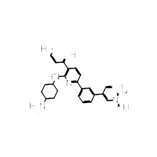 C=C/C(=C\N(C)C)c1cccc(-c2ccc(C(=C)/C=C\C)c(NC3CCC(N)CC3)n2)c1